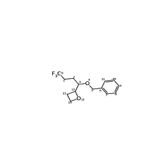 FC(F)(F)CCC(OCc1ccccc1)C1CCO1